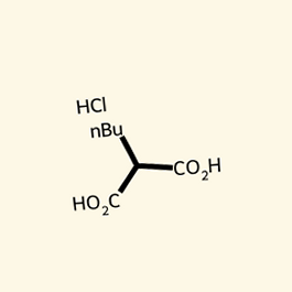 CCCCC(C(=O)O)C(=O)O.Cl